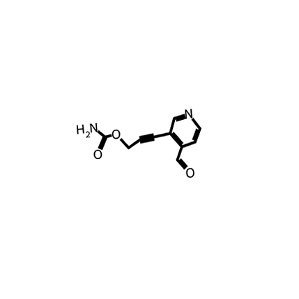 NC(=O)OCC#Cc1cnccc1C=O